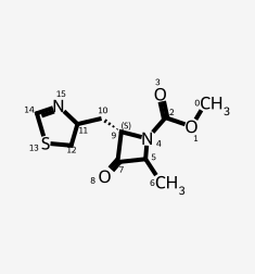 COC(=O)N1C(C)C(=O)[C@@H]1CC1CSC=N1